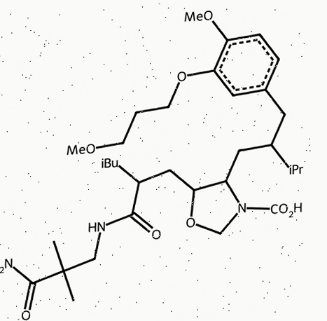 CCC(C)C(CC1OCN(C(=O)O)C1CC(Cc1ccc(OC)c(OCCCOC)c1)C(C)C)C(=O)NCC(C)(C)C(N)=O